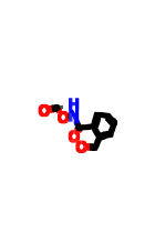 O=[C]ONC(=O)c1ccccc1C=O